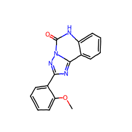 COc1ccccc1-c1nc2c3ccccc3[nH]c(=O)n2n1